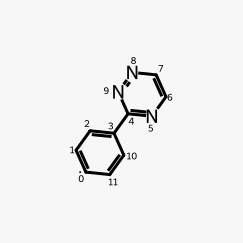 [c]1ccc(-c2nccnn2)cc1